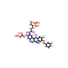 N#Cc1cnc2cc(OCC(O)CO)c(NC(=O)CCC3CCSS3(O)O)cc2c1Nc1ccc(OCc2cccc(F)c2)c(Cl)c1